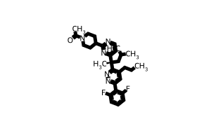 CCCc1cc(-c2c(F)cccc2F)nnc1[C@@](C)(CC(C)C)c1ccnc(C2CCN(C(C)=O)CC2)n1